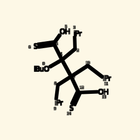 CC(C)COC(CC(C)C)(C(O)=S)C(CC(C)C)(CC(C)C)C(O)=S